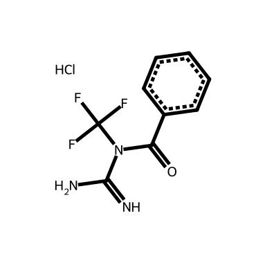 Cl.N=C(N)N(C(=O)c1ccccc1)C(F)(F)F